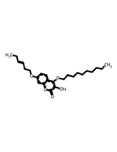 CCC=CCCOc1ccc2c(OCCCCCCCCCC)c(O)c(=O)oc2c1